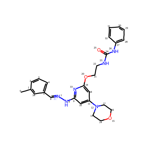 Cc1cccc(/C=N/Nc2cc(N3CCOCC3)cc(OCCNC(=O)Nc3ccccc3)n2)c1